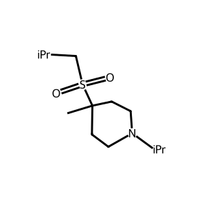 CC(C)CS(=O)(=O)C1(C)CCN(C(C)C)CC1